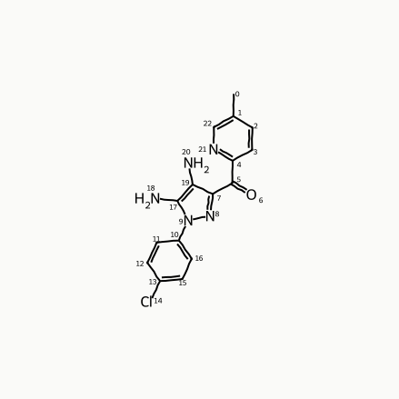 Cc1ccc(C(=O)c2nn(-c3ccc(Cl)cc3)c(N)c2N)nc1